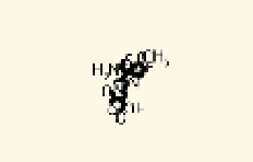 COc1c(F)cc2nc3c(c4c2c1SCC4N)Cn1c-3cc2c(c1=O)COC(=O)C2O